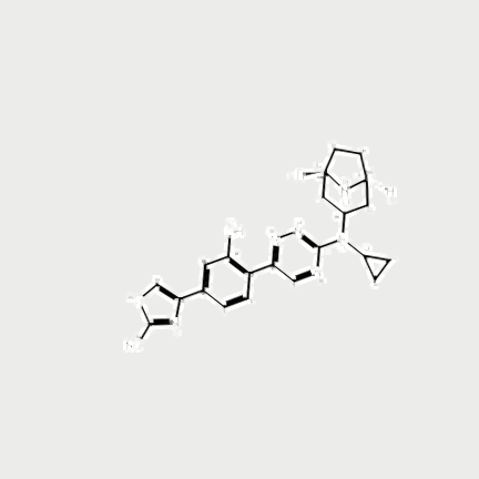 N#Cc1nc(-c2ccc(-c3cnc(N(C4CC4)C4C[C@@H]5CC[C@@H](C4)N5)nn3)c(O)c2)cs1